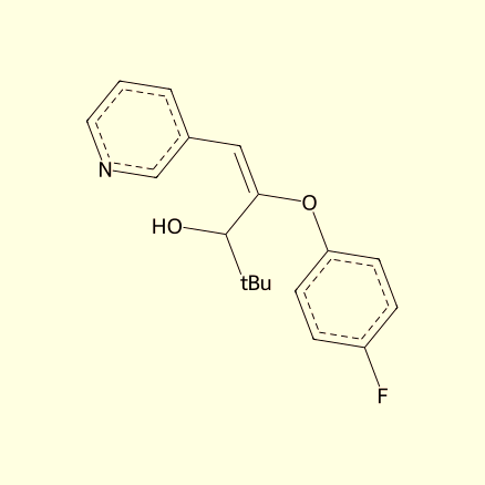 CC(C)(C)C(O)/C(=C\c1cccnc1)Oc1ccc(F)cc1